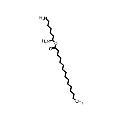 CCCCCCCCCCCCCCCC(=O)OC(N)CCCCCN